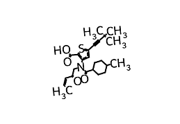 C/C=C\C(=O)CN(C(=O)C1CCC(C)CC1)c1cc(C#CC(C)(C)C)sc1C(=O)O